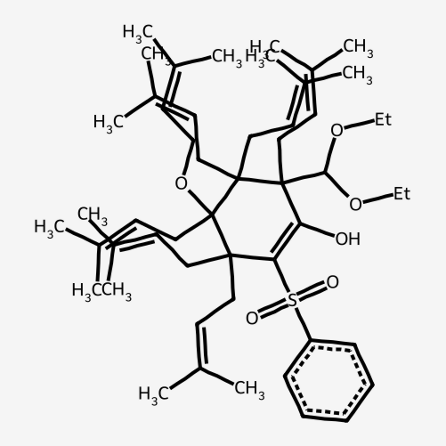 CCOC(OCC)C1(CC=C(C)C)C(O)=C(S(=O)(=O)c2ccccc2)C(CC=C(C)C)(CC=C(C)C)C(CC=C(C)C)(OCC=C(C)C)C1(CC=C(C)C)CC=C(C)C